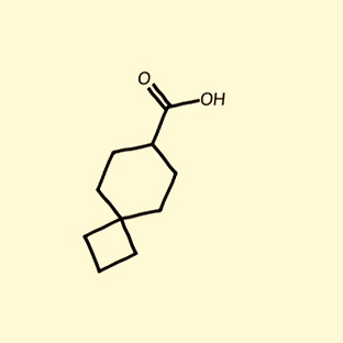 O=C(O)C1CCC2(CCC2)CC1